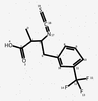 CC(C(=O)O)C(Cc1cccc(C(F)(F)F)c1)N=C=S